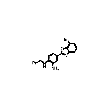 CC(C)CNc1ccc(-c2nc3cccc(Br)c3o2)cc1N